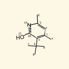 Cc1cc(C)c(C(C)(C)C)c(O)n1